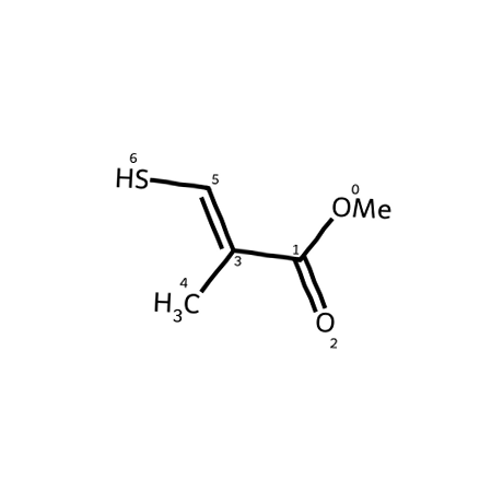 COC(=O)C(C)=CS